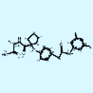 Cc1cc(C)cc(NC(=O)Cc2ccc(OC3(C(=O)N[C@@H](C)C(=O)O)CCCC3)cc2)c1